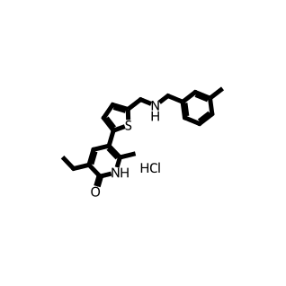 CCc1cc(-c2ccc(CNCc3cccc(C)c3)s2)c(C)[nH]c1=O.Cl